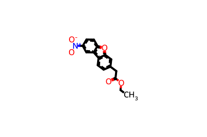 CCOC(=O)Cc1ccc2c(c1)oc1ccc([N+](=O)[O-])cc12